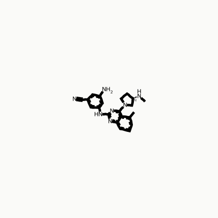 CN[C@H]1CCN(c2nc(Nc3cc(N)cc(C#N)c3)nc3cccc(C)c23)C1